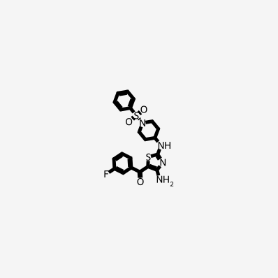 Nc1nc(NC2CCN(S(=O)(=O)c3ccccc3)CC2)sc1C(=O)c1cccc(F)c1